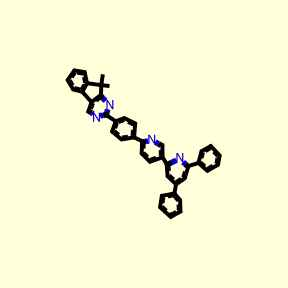 CC1(C)c2ccccc2-c2cnc(-c3ccc(-c4ccc(-c5cc(-c6ccccc6)cc(-c6ccccc6)n5)cn4)cc3)nc21